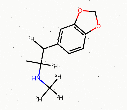 [2H]C(c1ccc2c(c1)OCO2)C([2H])(C)NC([2H])([2H])[2H]